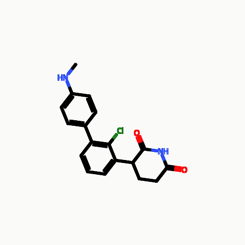 CNc1ccc(-c2cccc(C3CCC(=O)NC3=O)c2Cl)cc1